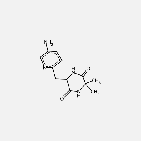 CC1(C)NC(=O)C(Cc2ccc(N)cn2)NC1=O